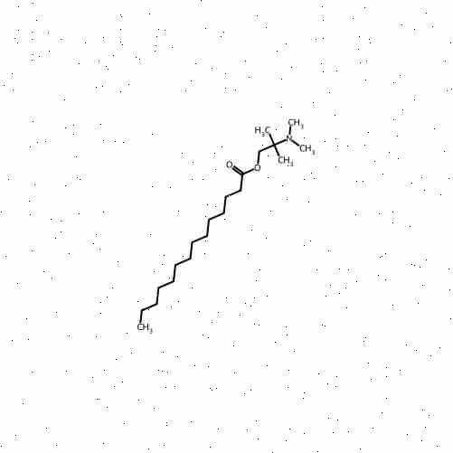 CCCCCCCCCCCCCC(=O)OCC(C)(C)N(C)C